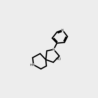 Cl.c1cc(N2CCC3(CCNCC3)C2)ccn1